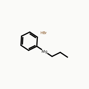 Br.CC[CH2][Mg][c]1ccccc1